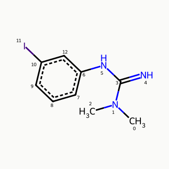 CN(C)C(=N)Nc1cccc(I)c1